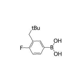 CC(C)(C)Cc1cc(B(O)O)ccc1F